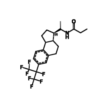 CCC(=O)NC(C)[C@@H]1CCC2c3ccc(C(F)(C(F)(F)F)C(F)(F)F)cc3CCC21